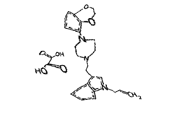 C=CCn1cc(CCN2CCN(c3cccc4c3OCCO4)CC2)c2ccccc21.O=C(O)C(=O)O